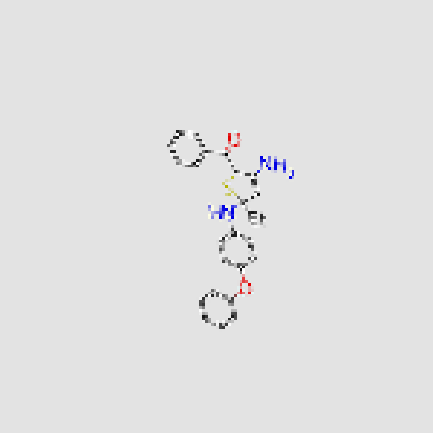 CCC1(Nc2ccc(Oc3ccccc3)cc2)C=C(N)C(C(=O)c2ccccc2)S1